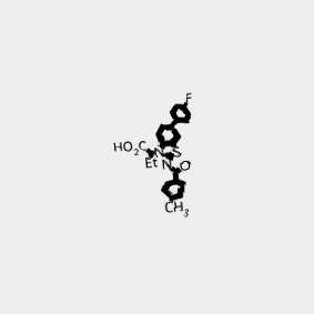 CCC(C(=O)O)n1/c(=N/C(=O)c2ccc(C)cc2)sc2cc(-c3ccc(F)cc3)ccc21